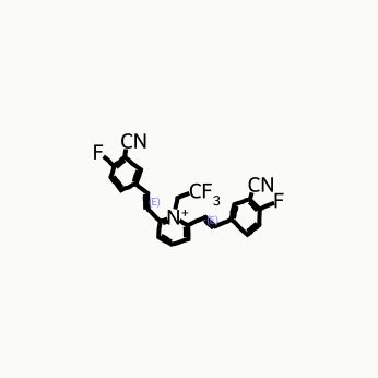 N#Cc1cc(/C=C/c2cccc(/C=C/c3ccc(F)c(C#N)c3)[n+]2CC(F)(F)F)ccc1F